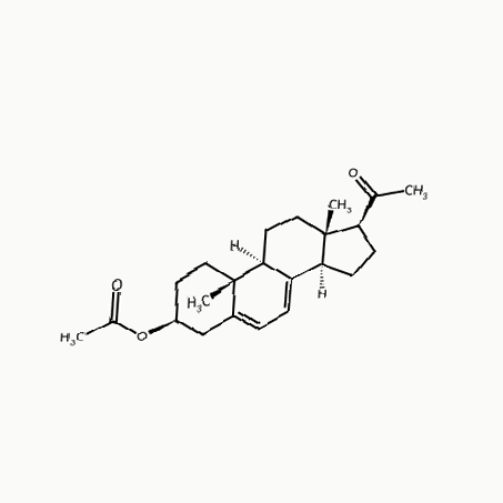 CC(=O)O[C@H]1CC[C@@]2(C)C(=CC=C3[C@@H]4CC[C@H](C(C)=O)[C@@]4(C)CC[C@@H]32)C1